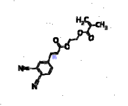 C=C(C)C(=O)OCCOC(=O)/C=C/c1ccc(C#N)c(C#N)c1